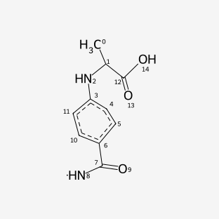 CC(Nc1ccc(C([NH])=O)cc1)C(=O)O